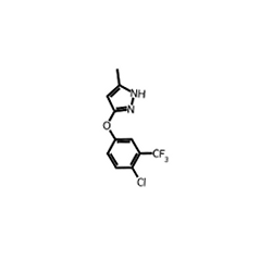 Cc1cc(Oc2ccc(Cl)c(C(F)(F)F)c2)n[nH]1